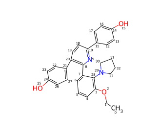 CCOc1cccc(-c2nc(-c3ccc(O)cc3)ccc2-c2ccc(O)cc2)c1N1CCCC1